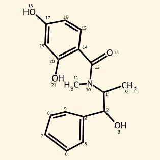 CC(C(O)c1ccccc1)N(C)C(=O)c1ccc(O)cc1O